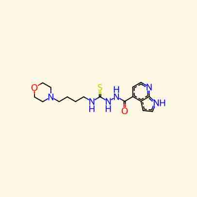 O=C(NNC(=S)NCCCCN1CCOCC1)c1ccnc2[nH]ccc12